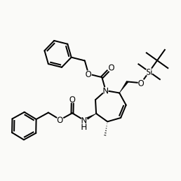 C[C@H]1C=C[C@H](CO[Si](C)(C)C(C)(C)C)N(C(=O)OCc2ccccc2)C[C@@H]1NC(=O)OCc1ccccc1